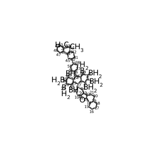 Bc1c(B)c(B)c2c(-c3ccc4oc5c6ccccc6ccc5c4c3)c3c(B)c(B)c(B)c(B)c3c(-c3ccc(-c4ccc5c(c4)-c4ccccc4C5(C)C)cc3)c2c1B